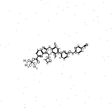 CC(C)(C)OC(=O)c1ccc2nc(Cc3cc(F)c(-c4cccc(OCc5ccc(C#N)cn5)n4)cc3F)n(C[C@@H]3CCO3)c2n1